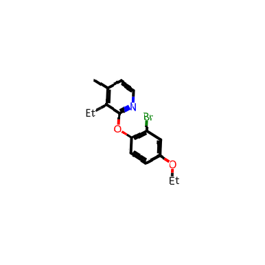 CCOc1ccc(Oc2nccc(C)c2CC)c(Br)c1